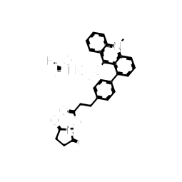 C[n+]1c2ccccc2c(C(=O)O)c2c(-c3ccc(CCC(=O)ON4C(=O)CCC4=O)cc3)cccc21.O=S([O-])F